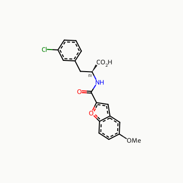 COc1ccc2oc(C(=O)N[C@@H](Cc3cccc(Cl)c3)C(=O)O)cc2c1